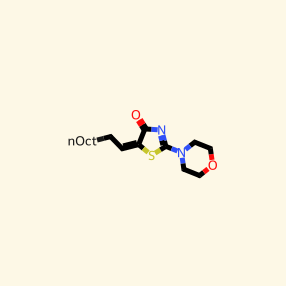 CCCCCCCCCC=C1SC(N2CCOCC2)=NC1=O